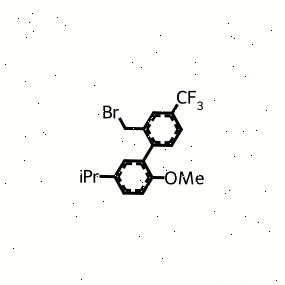 COc1ccc(C(C)C)cc1-c1ccc(C(F)(F)F)cc1CBr